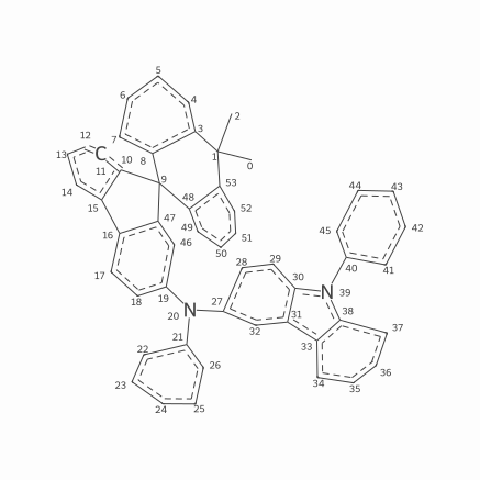 CC1(C)c2ccccc2C2(c3ccccc3-c3ccc(N(c4ccccc4)c4ccc5c(c4)c4ccccc4n5-c4ccccc4)cc32)c2ccccc21